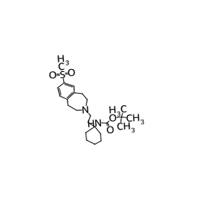 CC(C)(C)OC(=O)NC1(CCN2CCc3ccc(S(C)(=O)=O)cc3CC2)CCCCC1